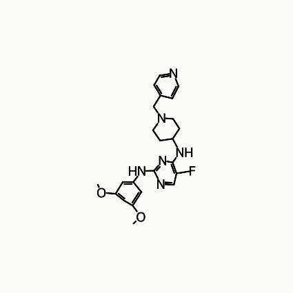 COc1cc(Nc2ncc(F)c(NC3CCN(Cc4ccncc4)CC3)n2)cc(OC)c1